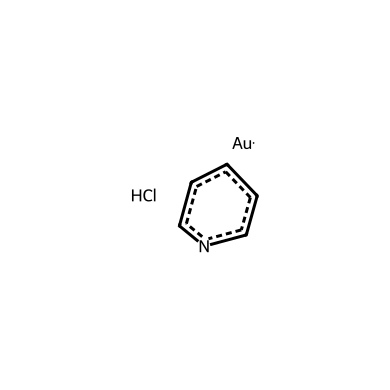 Cl.[Au].c1ccncc1